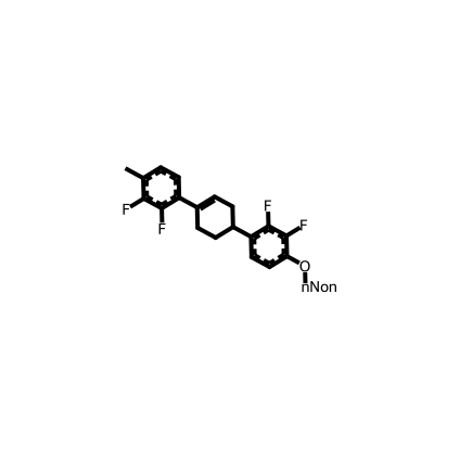 CCCCCCCCCOc1ccc(C2CC=C(c3ccc(C)c(F)c3F)CC2)c(F)c1F